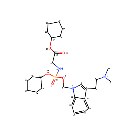 CN(C)CCc1cn(COP(=O)(NCC(=O)OC2CCCCC2)OC2CCCCC2)c2ccccc12